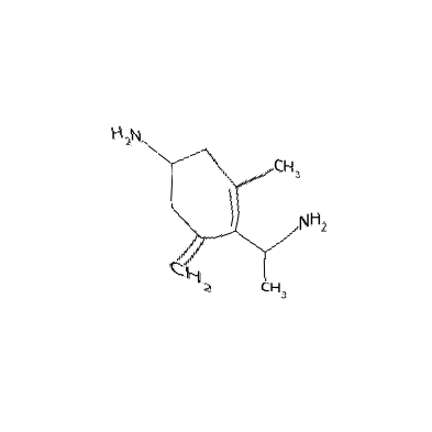 C=C1CC(N)CC(C)=C1C(C)N